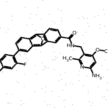 COc1cc(N)nc(C)c1CNC(=O)c1ccc2c(c1)c1oc2c2ccc(-c3ccc(F)cc3F)cc21